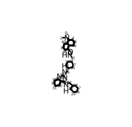 CN(C)c1cccc2c(ONC[C@H]3CC[C@H](CNc4nc(NCC5CCCCC5)c5ccccc5n4)CC3)cccc12